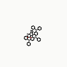 c1ccc(N(c2ccccc2)c2ccc3c(c2)C2(c4cc(N(c5ccccc5)c5ccccc5)ccc4N3c3ccccc3)c3cccnc3-c3ncccc32)cc1